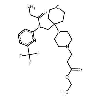 CCOC(=O)CCN1CCN(C2(CN(C(=O)CC)c3cccc(C(F)(F)F)n3)CCOCC2)CC1